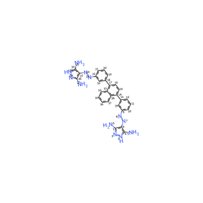 Nc1n[nH]c(N)c1/N=N/c1cccc(-c2ccc(-c3cccc(/N=N/c4c(N)n[nH]c4N)c3)c3ccccc23)c1